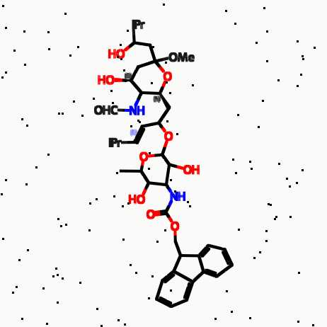 COC1(CC(O)C(C)C)C[C@H](O)C(NC=O)[C@H](CC(/C=C/C(C)C)OC2OC(C)C(O)C(NC(=O)OCC3c4ccccc4-c4ccccc43)C2O)O1